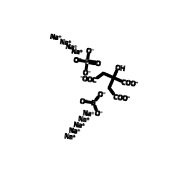 O=C([O-])CC(O)(CC(=O)[O-])C(=O)[O-].O=P([O-])([O-])[O-].[Na+].[Na+].[Na+].[Na+].[Na+].[Na+].[Na+].[Na+].[Na+].[O-]B([O-])[O-]